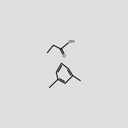 CCC(=O)O.Cc1cccc(C)c1